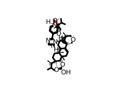 CC(C)[C@@H](C)[C@@]1(C)CC[C@]2(C)[C@H]3CC[C@@H]4[C@@]5(COC[C@@]4(C)[C@@H](OC[C@](C)(N)C(C)C)[C@H](n4ncnc4-c4cc[n+]([O-])cc4)C5)C3=CC[C@]2(C)[C@@H]1OC(=O)O